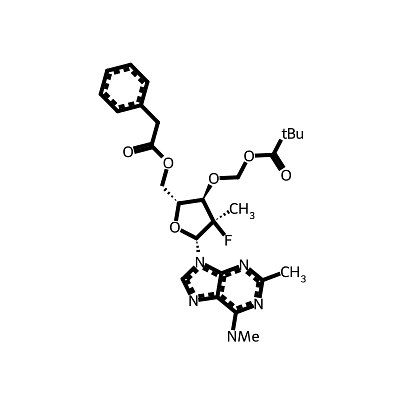 CNc1nc(C)nc2c1ncn2[C@@H]1O[C@H](COC(=O)Cc2ccccc2)[C@@H](OCOC(=O)C(C)(C)C)[C@@]1(C)F